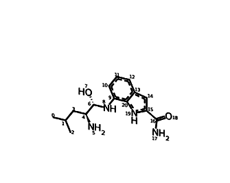 CC(C)C[C@H](N)[C@H](O)Nc1cccc2cc(C(N)=O)[nH]c12